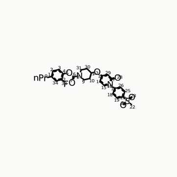 CCCc1ccc(OC(=O)N2CCC(Oc3ccn(-c4ccc(S(C)(=O)=O)cc4)c(=O)c3)CC2)c(F)c1